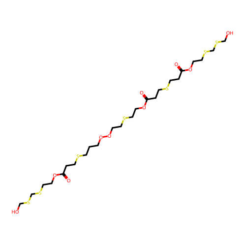 O=C(CCSCCCOOCCSCCOC(=O)CCSCCC(=O)OCCSCSCO)OCCSCSCO